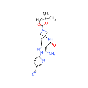 CC(C)(C)OC(=O)N1CC2(Cc3nn(-c4ccc(C#N)cn4)c(N)c3C(=O)N2)C1